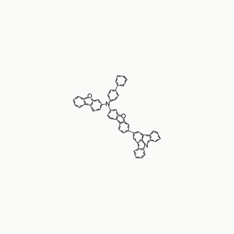 c1ccc(-c2ccc(N(c3ccc4c(c3)oc3ccccc34)c3ccc4c(c3)oc3cc(-c5cc6c7ccccc7n7c8ccccc8c(c5)c67)ccc34)cc2)cc1